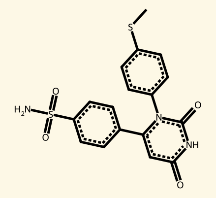 CSc1ccc(-n2c(-c3ccc(S(N)(=O)=O)cc3)cc(=O)[nH]c2=O)cc1